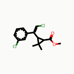 COC(=O)C1C(C(=CCl)c2cccc(Cl)c2)C1(C)C